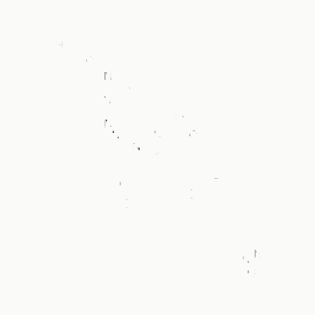 COC(=O)c1nc(N(CCC2COC(C)(C)O2)c2cc(C)c(/N=c3\sc4ccccc4n3COCC[Si](C)(C)C)nn2)sc1CCCOc1ccc(C#CCN(C)S(=O)(=O)c2ccc(C)cc2)cc1F